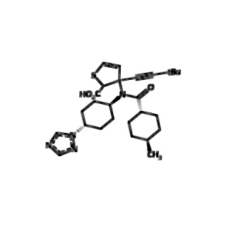 CC(C)(C)C#CC1(N(C(=O)[C@H]2CC[C@H](C)CC2)[C@H]2CC[C@H](n3cncn3)CC2)C=CSC1C(=O)O